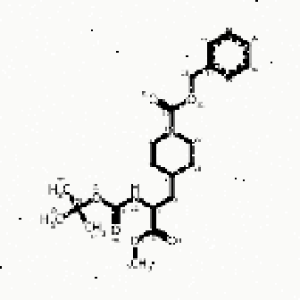 COC(=O)C(CC1CCN(C(=O)OCc2ccccc2)CC1)NC(=O)OC(C)(C)C